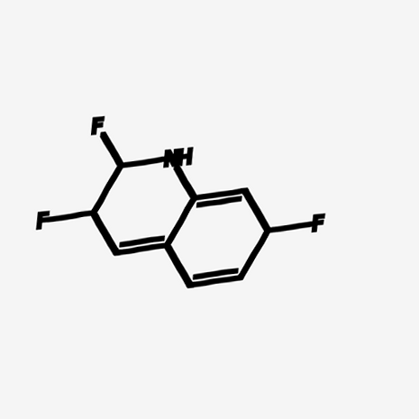 FC1C=CC2=CC(F)C(F)NC2=C1